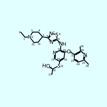 CCN1CCC(c2nsc(Nc3ncc(SC(C)O)cc3Oc3ccc(C)nc3C)n2)CC1